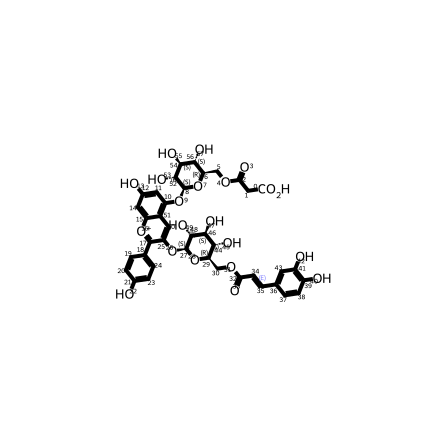 O=C(O)CC(=O)OC[C@H]1O[C@@H](Oc2cc(O)cc3[o+]c(-c4ccc(O)cc4)c(O[C@@H]4O[C@H](COC(=O)/C=C/c5ccc(O)c(O)c5)[C@@H](O)[C@H](O)[C@H]4O)cc23)[C@H](O)[C@@H](O)[C@@H]1O